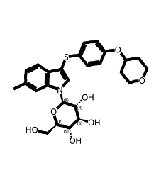 Cc1ccc2c(Sc3ccc(OC4CCOCC4)cc3)cn([C@@H]3O[C@H](CO)[C@@H](O)[C@H](O)[C@H]3O)c2c1